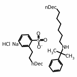 CCCCCCCCCCCCCCCCNC(C)(C)c1ccccc1.CCCCCCCCCCCCc1ccccc1S(=O)(=O)[O-].Cl.[Na+]